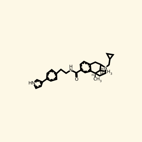 C[C@H]1C2Cc3ccc(C(=O)NCCc4ccc(-c5cc[nH]c5)cc4)cc3[C@@]1(C)CCN2CC1CC1